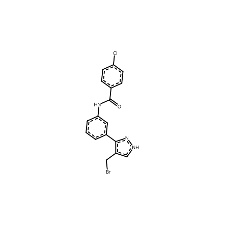 O=C(Nc1cccc(-c2n[nH]cc2CBr)c1)c1ccc(Cl)cc1